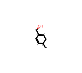 CC1C=CC(CO)=CC1